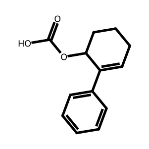 O=C(O)OC1CCCC=C1c1ccccc1